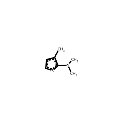 Cc1ccsc1N(C)C